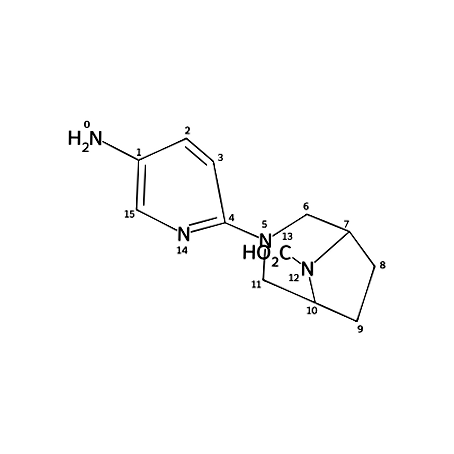 Nc1ccc(N2CC3CCC(C2)N3C(=O)O)nc1